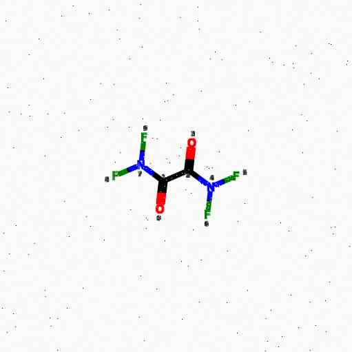 O=C(C(=O)N(F)F)N(F)F